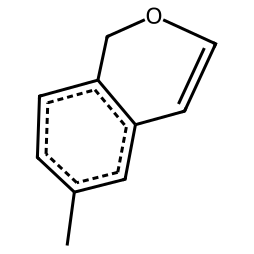 Cc1ccc2c(c1)C=COC2